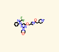 CN1CCC(CC(=O)N2CC(COc3cc(-n4c(C(F)F)nc5ccccc54)nc(N4CCOCC4)n3)C2)CC1